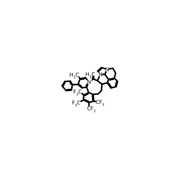 C=C1C2C(CCc3c(c(C(F)(F)F)c(C(F)(F)F)c(C(F)(F)F)c3C(F)(F)F)-c3cc(-c4ccccc4)c(C)c[n+]31)c1cccc3c1C1N(C=CN21)CC3